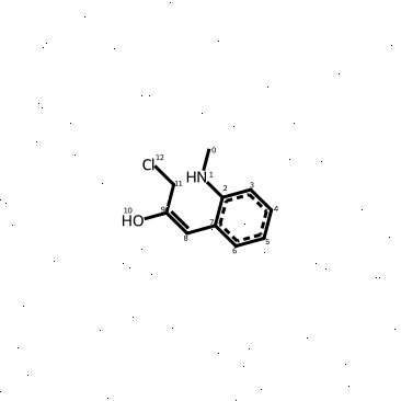 CNc1ccccc1/C=C(/O)CCl